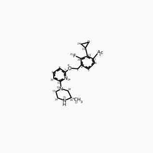 CC(=O)c1ccc(COc2cccc(N3CCN[C@@H](C)C3)n2)c(F)c1C1CC1